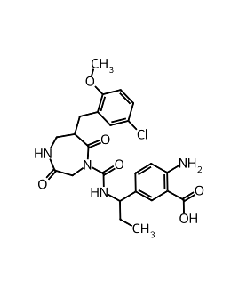 CCC(NC(=O)N1CC(=O)NCC(Cc2cc(Cl)ccc2OC)C1=O)c1ccc(N)c(C(=O)O)c1